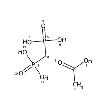 CC(=O)O.O=P(O)(O)CP(=O)(O)O